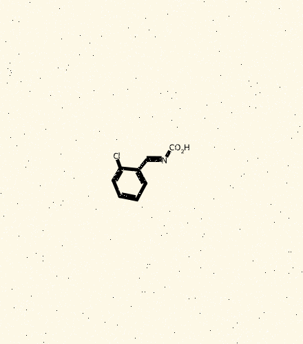 O=C(O)N=Cc1ccccc1Cl